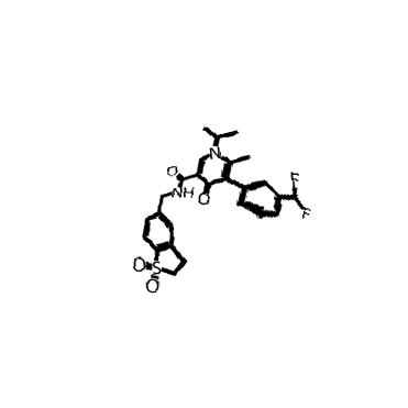 Cc1c(-c2cccc(C(F)F)c2)c(=O)c(C(=O)NCc2ccc3c(c2)CCS3(=O)=O)cn1C(C)C